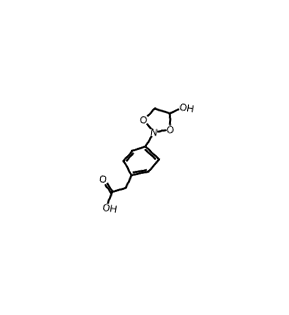 O=C(O)Cc1ccc(N2OCC(O)O2)cc1